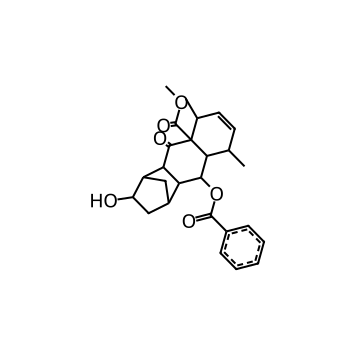 COC(=O)C12C(=O)C3C4CC(CC4O)C3C(OC(=O)c3ccccc3)C1C(C)C=CC2C